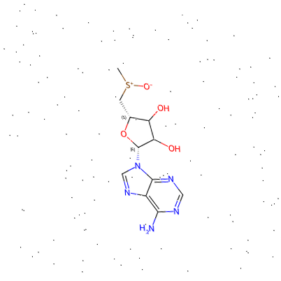 C[S+]([O-])C[C@H]1O[C@@H](n2cnc3c(N)ncnc32)C(O)C1O